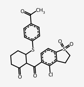 CC(=O)c1ccc(SC2CCCC(=O)C2C(=O)c2ccc3c(c2Cl)CCS3(=O)=O)cc1